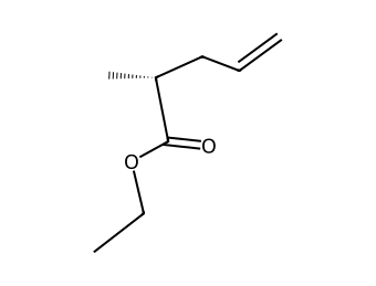 C=CC[C@@H](C)C(=O)OCC